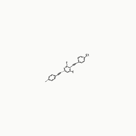 CCc1ccc(C#Cc2c(F)cc(C#Cc3ccc(C)cc3)cc2F)cc1